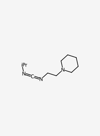 CC(C)N=C=NCCN1CCCCC1